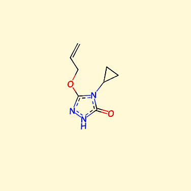 C=CCOc1n[nH]c(=O)n1C1CC1